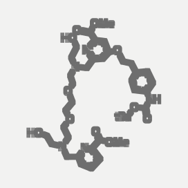 COC(=O)c1cccc(CN(CCO)CCOCCOCCN(CCO)Cc2cc(OCCc3ccc(NC(=O)OC(C)(C)C)cc3)cc(C(=O)OC)n2)n1